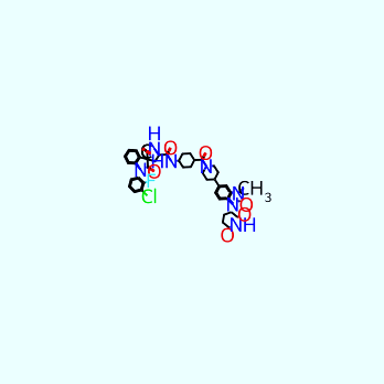 Cn1c(=O)n(C2CCC(=O)NC2=O)c2ccc(C3CCN(C(=O)C4CCC(NC(=O)C5CC6(C(=O)N(c7cccc(Cl)c7F)c7ccccc76)C6(CCCCC6)N5)CC4)CC3)cc21